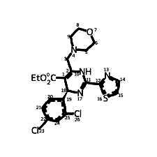 CCOC(=O)C1=C(CN2CCOCC2)NC(c2nccs2)=N[C@H]1c1ccc(Cl)cc1Cl